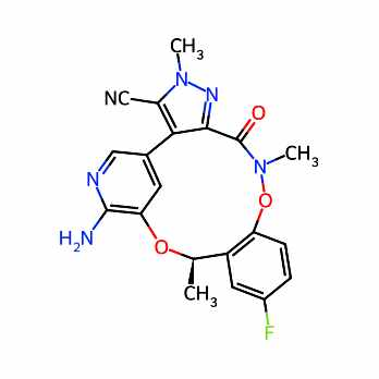 C[C@H]1Oc2cc(cnc2N)-c2c(nn(C)c2C#N)C(=O)N(C)Oc2ccc(F)cc21